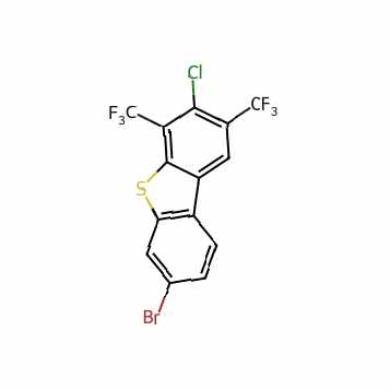 FC(F)(F)c1cc2c(sc3cc(Br)ccc32)c(C(F)(F)F)c1Cl